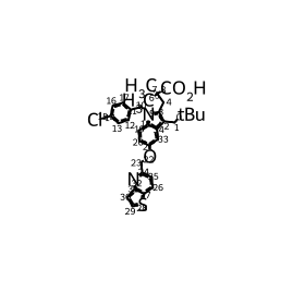 CC(C)(C)Cc1c(CC(C)(C)C(=O)O)n(Cc2ccc(Cl)cc2)c2ccc(OCc3ccc4sccc4n3)cc12